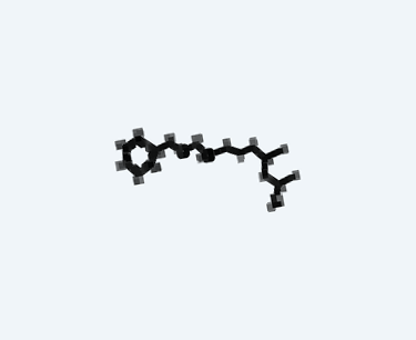 [Li][CH](C)CC(C)CCCOCOCc1ccccc1